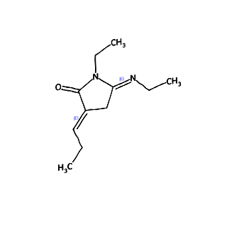 CC/C=C1\C/C(=N\CC)N(CC)C1=O